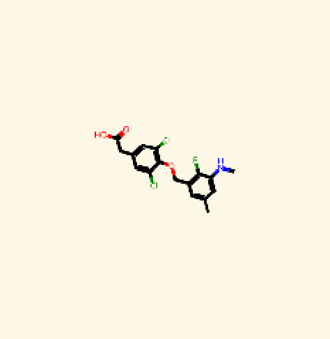 CNc1cc(C)cc(COc2c(Cl)cc(CC(=O)O)cc2Cl)c1F